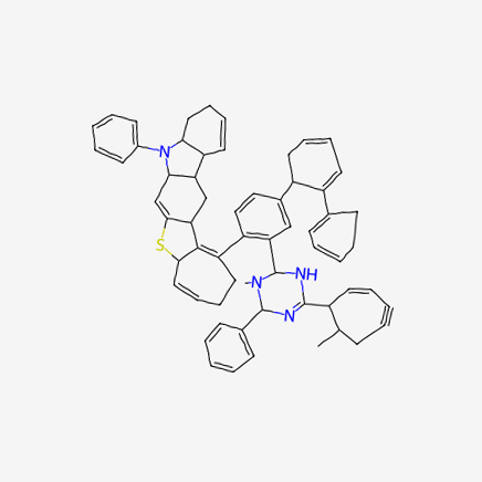 CC1CC#CC=CC1C1=NC(c2ccccc2)N(C)C(c2cc(C3CC=CC=C3C3=CC=CCC3)ccc2C2=C3C(C=CCC2)SC2=CC4C(CC23)C2C=CCCC2N4c2ccccc2)N1